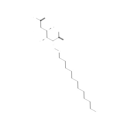 CCCCCCCCCCCCNO[C@@H](C(=O)O)[C@@H](O)[C@H](O)[C@H](O)C(=O)O